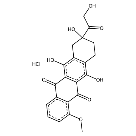 COc1cccc2c1C(=O)c1c(O)c3c(c(O)c1C2=O)CC(O)(C(=O)CO)CC3.Cl